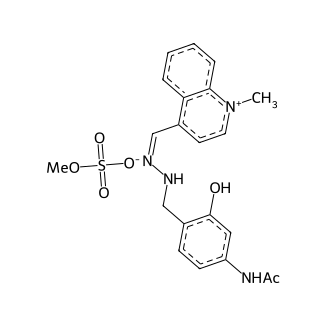 CC(=O)Nc1ccc(CN/N=C\c2cc[n+](C)c3ccccc23)c(O)c1.COS(=O)(=O)[O-]